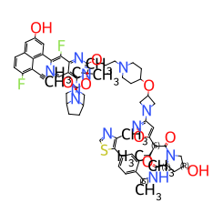 C#Cc1c(F)ccc2cc(O)cc(-c3ncc4c(N5CC6CCC(C5)N6C(=O)OC(C)(C)C)nc(OCCN5CCC(OC6CN(c7cc([C@@H](C(=O)N8C[C@H](O)C[C@H]8C(=O)N[C@@H](C)c8ccc(-c9scnc9C)cc8)C(C)C)on7)C6)CC5)nc4c3F)c12